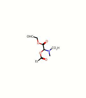 CCC(=O)OC(C(=O)OCC=O)N(C)C(=O)O